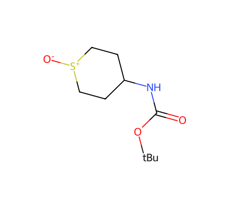 CC(C)(C)OC(=O)NC1CC[S+]([O-])CC1